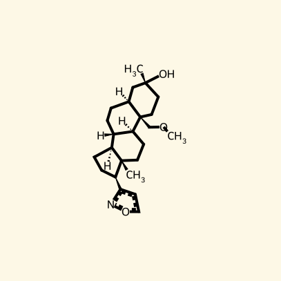 COC[C@]12CC[C@@](C)(O)C[C@@H]1CC[C@H]1[C@@H]3CC[C@H](c4ccon4)[C@@]3(C)CC[C@@H]12